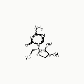 Nc1ncn([C@@]2(CO)OC[C@H](O)[C@@H]2O)c(=O)n1